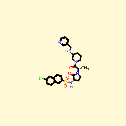 C[C@@H](C(=O)N1CCCC(NCc2cccnc2)C1)N1CC[C@H](NS(=O)(=O)c2ccc3cc(Cl)ccc3c2)C1=O